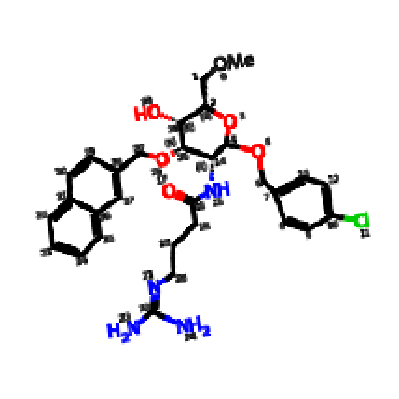 COC[C@H]1OC(OCc2ccc(Cl)cc2)[C@H](NC(=O)CCCN=C(N)N)[C@H](OCc2ccc3ccccc3c2)[C@@H]1O